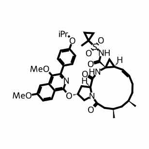 COc1ccc2c(O[C@@H]3C[C@H]4C(=O)N[C@]5(C(=O)NS(=O)(=O)C6(C)CC6)C[C@H]5/C=C\CC[C@@H](C)C[C@@H](C)CC(=O)N4C3)nc(-c3ccc(OC(C)C)cc3)c(OC)c2c1